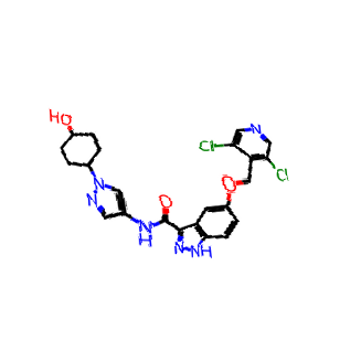 O=C(Nc1cnn(C2CCC(O)CC2)c1)c1n[nH]c2ccc(OCc3c(Cl)cncc3Cl)cc12